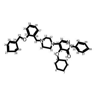 O=c1c(OC2CCCCC2)c(N2CCN(Cc3ccccc3OCc3ccccc3)CC2)cnn1-c1ccccc1